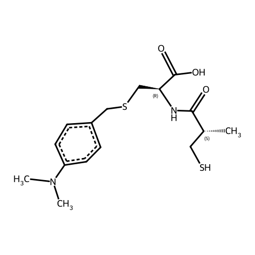 C[C@H](CS)C(=O)N[C@@H](CSCc1ccc(N(C)C)cc1)C(=O)O